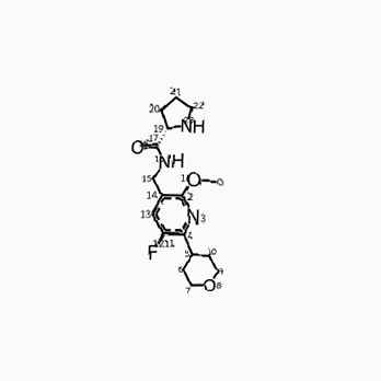 COc1nc(C2CCOCC2)c(F)cc1CNC(=O)[C@@H]1CCCN1